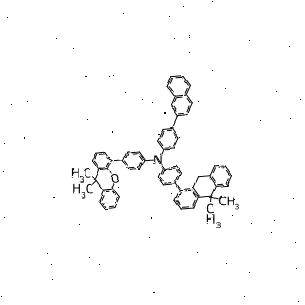 CC1(C)c2ccccc2Cc2c(-c3ccc(N(c4ccc(-c5ccc6ccccc6c5)cc4)c4ccc(-c5cccc6c5Oc5ccccc5C6(C)C)cc4)cc3)cccc21